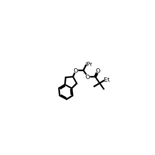 CCC(C)(C)C(=O)OC(OC1Cc2ccccc2C1)C(C)C